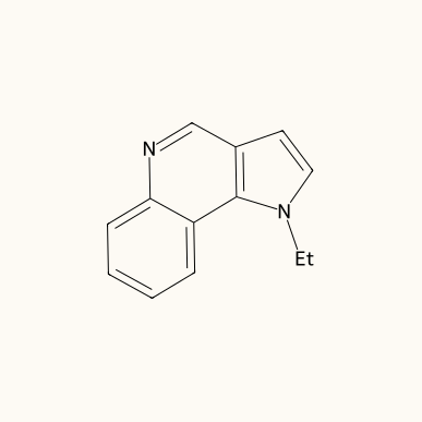 CCn1ccc2cnc3ccccc3c21